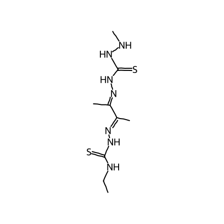 CCNC(=S)N/N=C(C)/C(C)=N/NC(=S)NNC